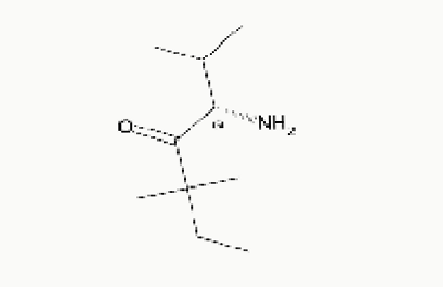 CCC(C)(C)C(=O)[C@@H](N)C(C)C